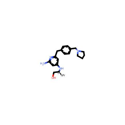 CCC[C@@H](CO)Nc1cc(N)nc(Cc2ccc(CN3CCCC3)cc2)c1